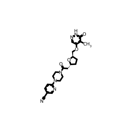 Cc1c(OC[C@H]2CC[C@H](CC(=O)N3CCN(c4ccc(C#N)cn4)CC3)O2)cn[nH]c1=O